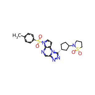 Cc1ccc(S(=O)(=O)n2ccc3c2ncc2nnc([C@@H]4CCC(N5CCCS5(=O)=O)C4)n23)cc1